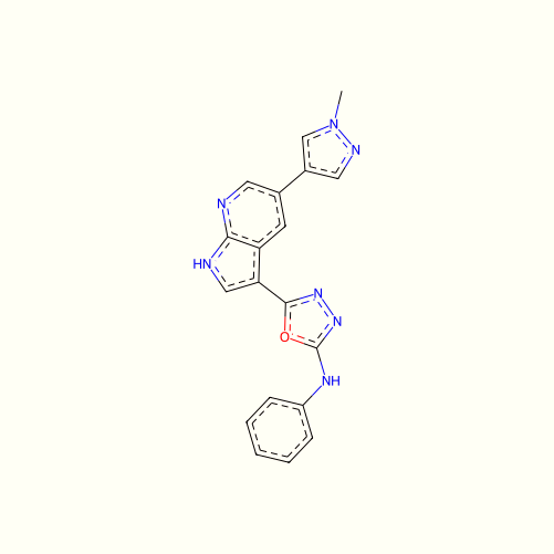 Cn1cc(-c2cnc3[nH]cc(-c4nnc(Nc5ccccc5)o4)c3c2)cn1